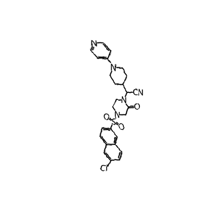 N#CC(C1CCN(c2ccncc2)CC1)N1CCN(S(=O)(=O)c2ccc3cc(Cl)ccc3c2)CC1=O